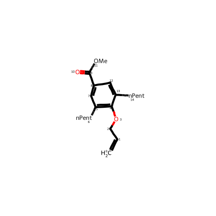 C=CCOc1c(CCCCC)cc(C(=O)OC)cc1CCCCC